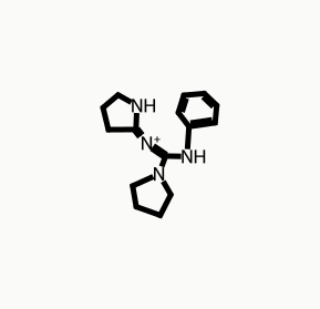 c1ccc(NC(=[N+]=C2CCCN2)N2CCCC2)cc1